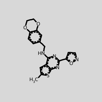 Cc1cc2c(NCc3ccc4c(c3)OCCO4)nc(-c3ccno3)nc2s1